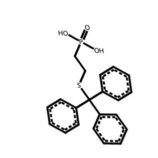 O=P(O)(O)CCSC(c1ccccc1)(c1ccccc1)c1ccccc1